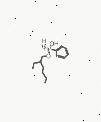 CCCCC(CC)CO[PH](O)(O)c1ccccc1